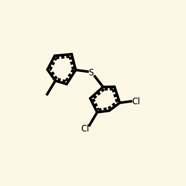 Cc1cccc(Sc2cc(Cl)cc(Cl)c2)c1